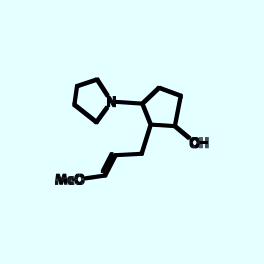 COC=CCC1C(O)CCC1N1CCCC1